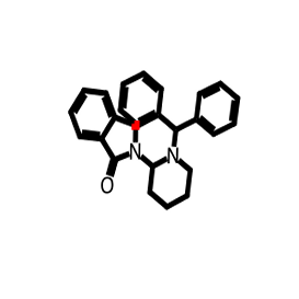 O=C1c2ccccc2CN1C1CCCCN1C(c1ccccc1)c1ccccc1